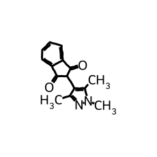 Cc1nn(C)c(C)c1C1C(=O)c2ccccc2C1=O